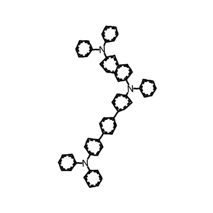 c1ccc(N(c2ccccc2)c2ccc(-c3ccc(-c4ccc(N(c5ccccc5)c5ccc6cc(N(c7ccccc7)c7ccccc7)ccc6c5)cc4)cc3)cc2)cc1